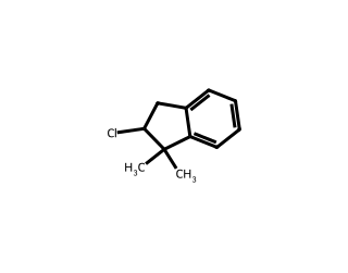 CC1(C)c2ccccc2CC1Cl